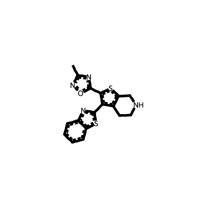 Cc1noc(-c2sc3c(c2-c2nc4ccccc4s2)CCNC3)n1